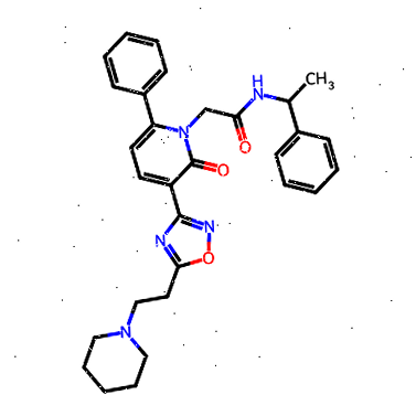 CC(NC(=O)Cn1c(-c2ccccc2)ccc(-c2noc(CCN3CCCCC3)n2)c1=O)c1ccccc1